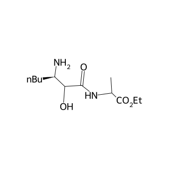 CCCC[C@@H](N)C(O)C(=O)NC(C)C(=O)OCC